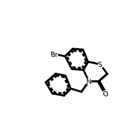 O=C1CSc2ccc(Br)cc2N1Cc1ccccc1